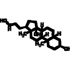 C[C@]12CC[C@H](O)C[C@H]1CC[C@@H]1[C@@H]2CC[C@]2(C)[C@@H](CCNO)CC[C@]12O